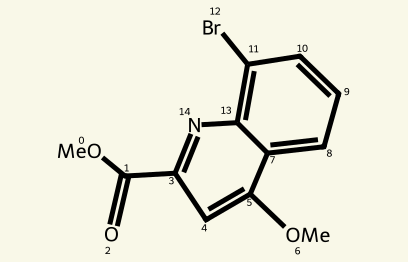 COC(=O)c1cc(OC)c2cccc(Br)c2n1